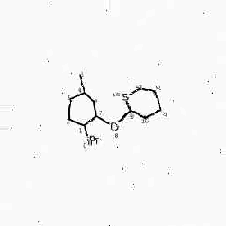 C[C](C)C1CCC(C)CC1OC1CCCCS1